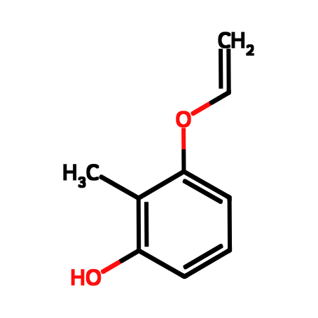 C=COc1cccc(O)c1C